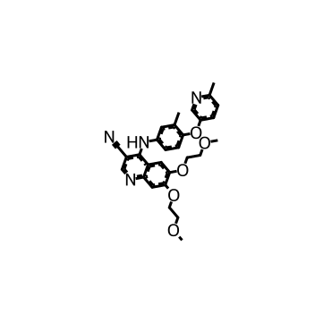 COCCOc1cc2ncc(C#N)c(Nc3ccc(Oc4ccc(C)nc4)c(C)c3)c2cc1OCCOC